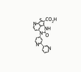 O=C(O)c1sc2nccc3c2c1NC(=O)N3c1ccnc(-c2cccnc2)c1